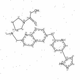 CN(Cc1ccc2cc(Oc3ccc(-c4ccn[nH]4)cn3)ccc2n1)[C@@H]1CCN(C(=O)CO)C1